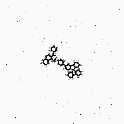 c1ccc(-c2nc(-c3ccc(-c4ccc5c(c4)-c4ccccc4C5(c4ccccc4)c4ccccc4)cc3)nc3c2ccc2ccccc23)cc1